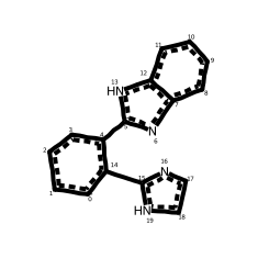 [c]1cccc(-c2nc3ccccc3[nH]2)c1-c1ncc[nH]1